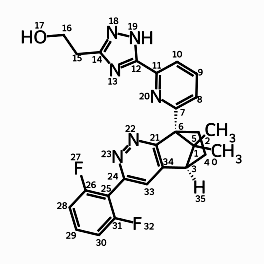 CC1(C)[C@H]2CC[C@]1(c1cccc(-c3nc(CCO)n[nH]3)n1)c1nnc(-c3c(F)cccc3F)cc12